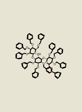 O[C@@H]1[C@@H](O[C@H]2O[C@H](COCc3ccccc3)[C@@H](OCc3ccccc3)[C@H](OCc3ccccc3)[C@@H]2OCc2ccccc2)[C@H](OCc2ccccc2)[C@@H](OCc2ccccc2)[C@H](OCc2ccccc2)[C@@H]1O[C@@H]1O[C@H](COCc2ccccc2)[C@@H](OCc2ccccc2)[C@H](OCc2ccccc2)[C@@H]1OCc1ccccc1